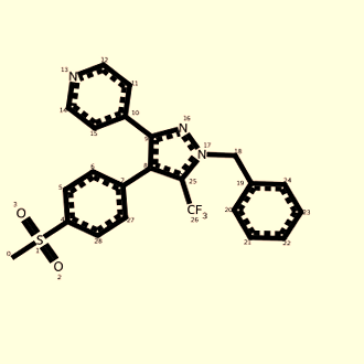 CS(=O)(=O)c1ccc(-c2c(-c3ccncc3)nn(Cc3ccccc3)c2C(F)(F)F)cc1